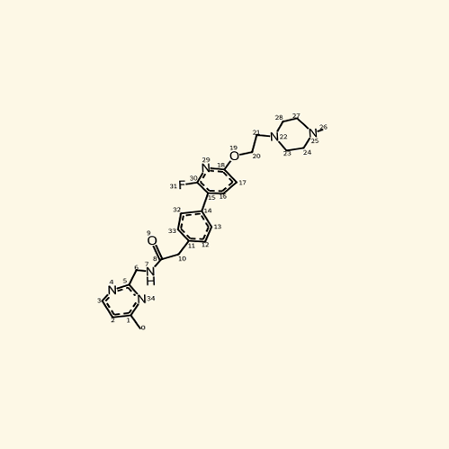 Cc1ccnc(CNC(=O)Cc2ccc(-c3ccc(OCCN4CCN(C)CC4)nc3F)cc2)n1